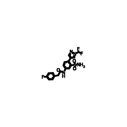 NS(=O)(=O)c1cc(NC(=O)Cc2ccc(F)cc2)ccc1-c1cnn(C(F)F)c1